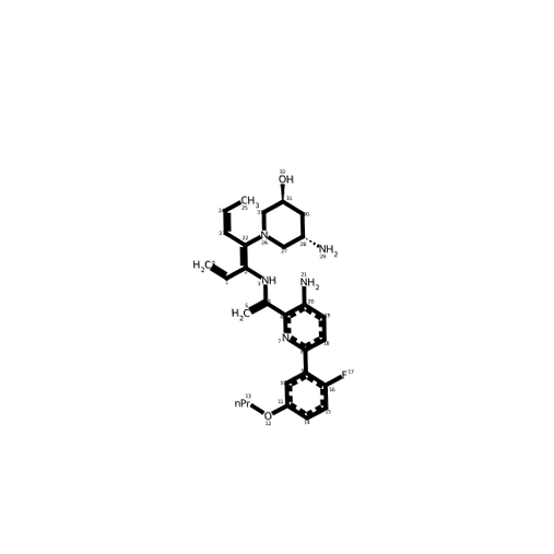 C=C/C(NC(=C)c1nc(-c2cc(OCCC)ccc2F)ccc1N)=C(\C=C/C)N1C[C@@H](N)C[C@H](O)C1